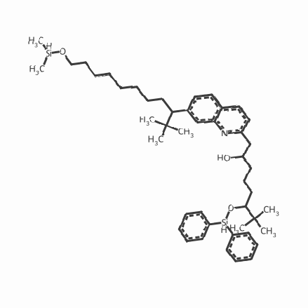 C[SiH](C)OCCCCCCCCC(c1ccc2ccc(CC(O)CCCC(O[SiH](c3ccccc3)c3ccccc3)C(C)(C)C)nc2c1)C(C)(C)C